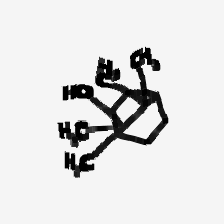 CC12CCC(CC1)C(C)(C)C2(C)O